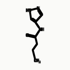 CCCC(=O)Nc1cn[nH]c1